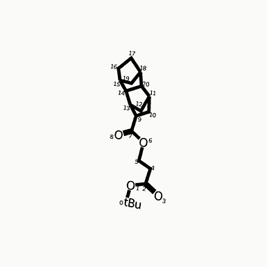 CC(C)(C)OC(=O)CCOC(=O)C1CC2CC1C1C3CCC(C3)C21